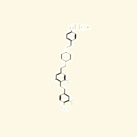 CCCCCCc1ccc(CC[C@H]2CC[C@H](CCc3cc(F)c(CCc4ccc(Cl)c(F)c4)c(F)c3)CC2)cc1